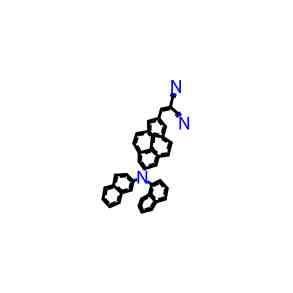 N#CC(C#N)=Cc1cc2ccc3cc(N(c4ccc5ccccc5c4)c4cccc5ccccc45)cc4ccc(c1)c2c34